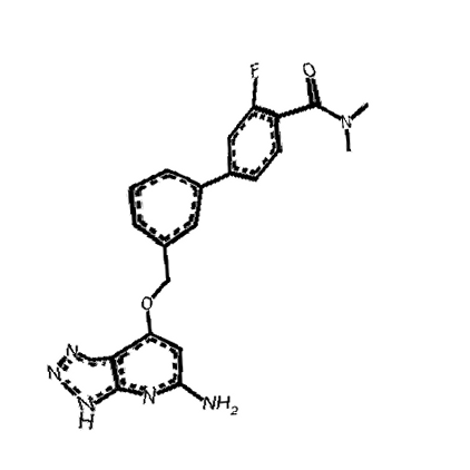 CN(C)C(=O)c1ccc(-c2cccc(COc3cc(N)nc4[nH]nnc34)c2)cc1F